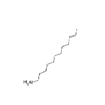 CC=CCCCCCCCC[CH2][AlH2]